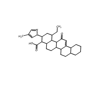 CCC1CC(n2cc(C)cn2)C(C(=O)O)C2CCC3C4CCC5CCCCC5C4=CC(=O)C3C12